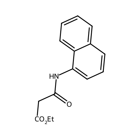 CCOC(=O)CC(=O)Nc1cccc2ccccc12